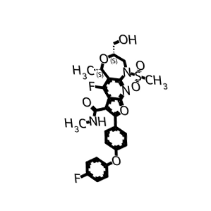 CNC(=O)c1c(-c2ccc(Oc3ccc(F)cc3)cc2)oc2nc3c(c(F)c12)[C@H](C)O[C@H](CO)CN3S(C)(=O)=O